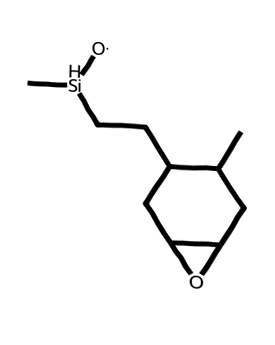 CC1CC2OC2CC1CC[SiH](C)[O]